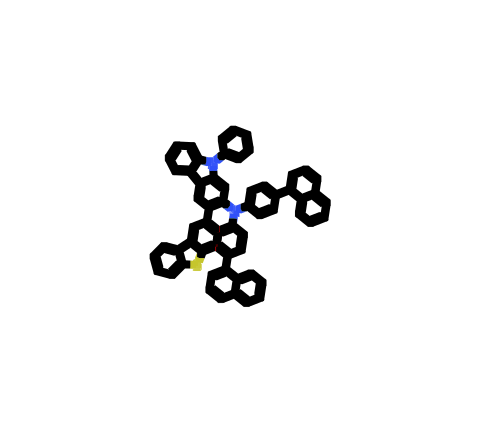 c1ccc(-n2c3ccccc3c3cc(-c4ccc5sc6ccccc6c5c4)c(N(c4ccc(-c5cccc6ccccc56)cc4)c4ccc(-c5cccc6ccccc56)cc4)cc32)cc1